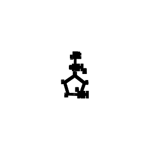 C1CCNC1.CCN